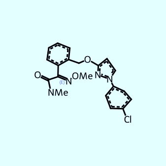 CNC(=O)/C(=N/OC)c1ccccc1COc1ccn(-c2ccc(Cl)cc2)n1